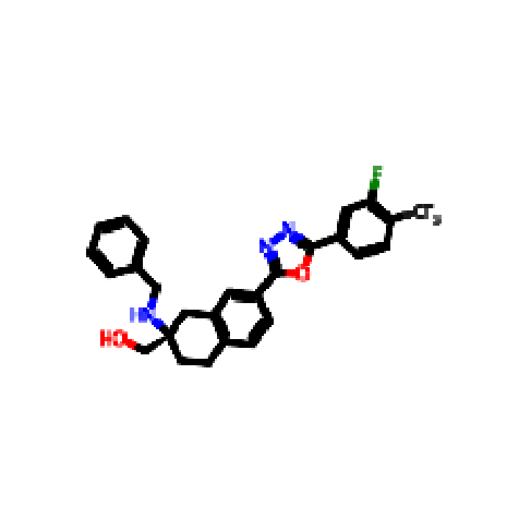 OC[C@]1(NCc2ccccc2)CCc2ccc(-c3nnc(-c4ccc(C(F)(F)F)c(F)c4)o3)cc2C1